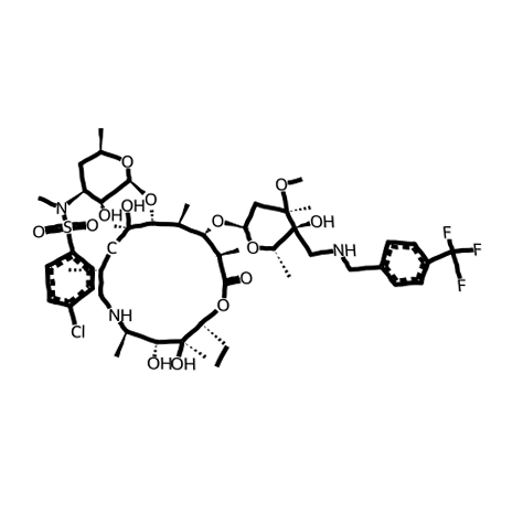 CC[C@H]1OC(=O)[C@H](C)[C@@H](O[C@H]2C[C@@](C)(OC)[C@](O)(CNCc3ccc(C(F)(F)F)cc3)[C@H](C)O2)[C@H](C)[C@@H](O[C@@H]2O[C@H](C)C[C@H](N(C)S(=O)(=O)c3ccc(Cl)cc3)[C@H]2O)[C@](C)(O)C[C@@H](C)CN[C@H](C)[C@@H](O)[C@]1(C)O